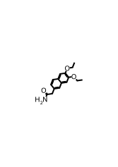 CCOc1cc2ccc(CC(N)=O)cc2cc1OCC